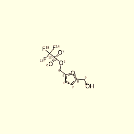 O=S(=O)(OCc1ccc(CO)o1)C(F)(F)F